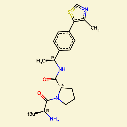 Cc1ncsc1-c1ccc([C@H](C)NC(=O)[C@@H]2CCCN2C(=O)[C@@H](N)C(C)(C)C)cc1